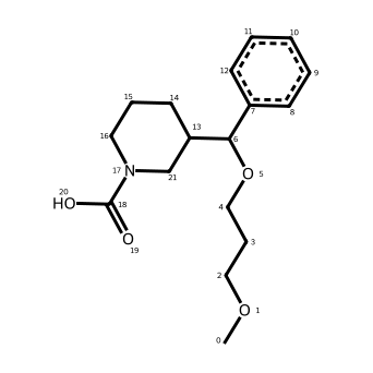 COCCCOC(c1ccccc1)C1CCCN(C(=O)O)C1